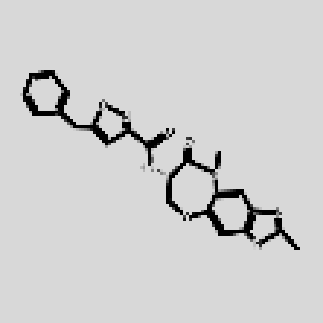 Cc1nc2cc3c(cc2[nH]1)OC[C@H](NC(=O)c1cc(Cc2ccccc2)on1)C(=O)N3C